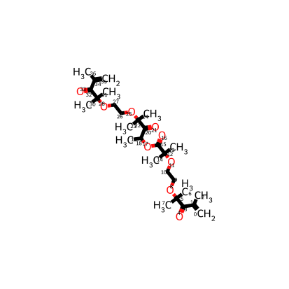 C=C(C)C(=O)C(C)(C)OCCOC(C)(C)C(=O)OC(C)C(=O)C(C)(C)OCCOC(C)(C)C(=O)C(=C)C